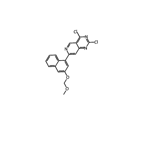 COCOc1cc(-c2cc3nc(Cl)nc(Cl)c3cn2)c2ccccc2c1